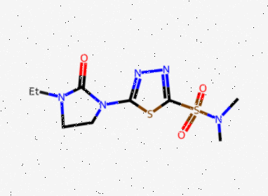 CCN1CCN(c2nnc(S(=O)(=O)N(C)C)s2)C1=O